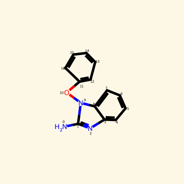 Nc1nc2ccccc2n1Oc1ccccc1